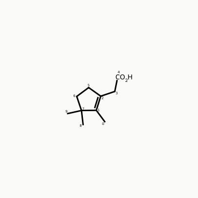 CC1=C(CC(=O)O)CCC1(C)C